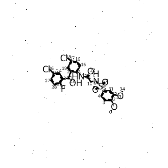 COc1ccc(S(=O)(=O)NCC(=O)Nc2ccc(Cl)cc2C(O)c2cc(Cl)ccc2F)cc1OC